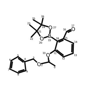 CC(OCc1ccccc1)Oc1cccc(C=O)c1B1OC(C)(C)C(C)(C)O1